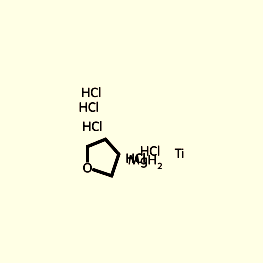 C1CCOC1.Cl.Cl.Cl.Cl.Cl.[MgH2].[Ti]